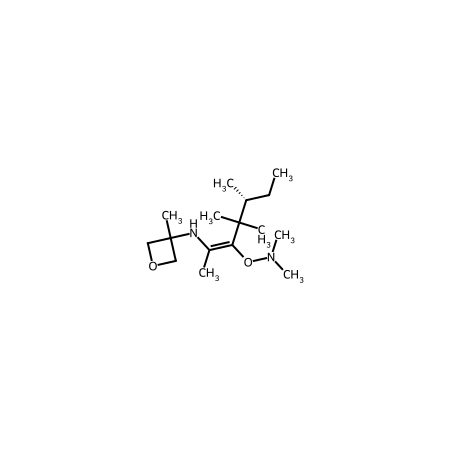 CC[C@@H](C)C(C)(C)/C(ON(C)C)=C(/C)NC1(C)COC1